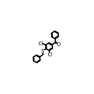 O=C(c1ccccc1)c1cc(Cl)c(SCc2ccccc2)c(Cl)c1